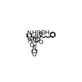 O=C(N[C@@H](CC(=O)N1CCOCC1)C(=O)N[C@H](CCCc1ccccc1)B(O)O)c1cnccn1